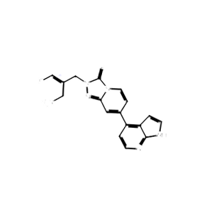 NC/C(=C\F)Cn1nc2cc(-c3ccnc4[nH]ccc34)ccn2c1=O